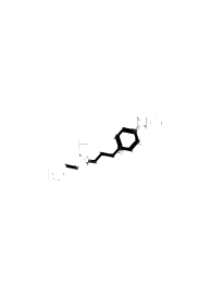 O=[N+]([O-])c1ccc(CCCNCCO)cc1